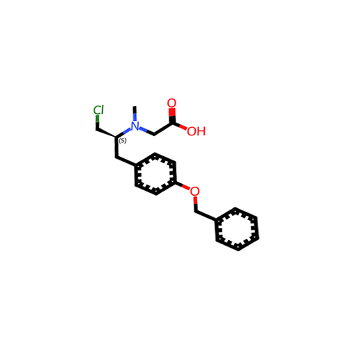 CN(CC(=O)O)[C@H](CCl)Cc1ccc(OCc2ccccc2)cc1